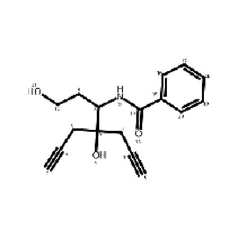 C#CCC(O)(CC#C)C(CCO)NC(=O)c1ccccc1